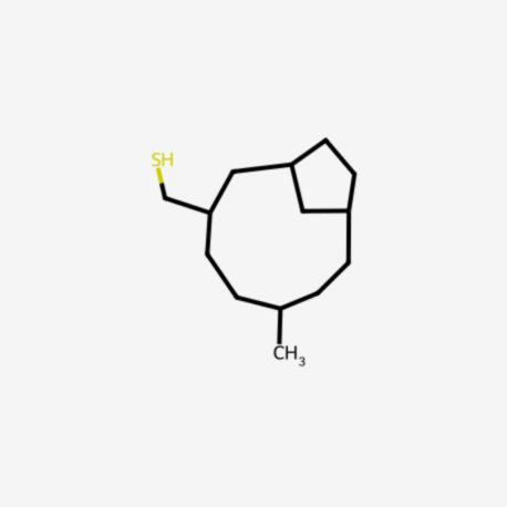 CC1CCC(CS)CC2CCC(CC1)C2